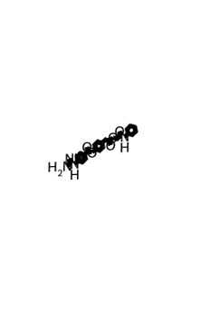 N=C(N)Nc1ccc(C(=O)Oc2ccc(CC(=O)OCC(=O)NC3CCCCC3)cc2)cc1